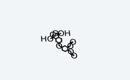 O=COC1CCC(OC2CCC(C(=O)O)C(C(=O)O)C2)CC1OC=O